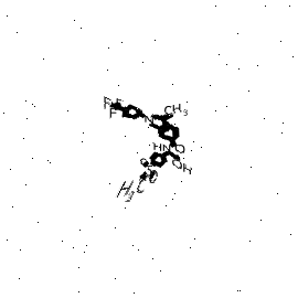 CCC1CN(C2CCC(C(F)(F)F)CC2)Cc2cc(C(=O)NC(CO)c3ccc(S(=O)(=O)CC)cc3)ccc21